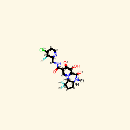 CCN1C(=O)c2c(O)c(=O)c(C(=O)NCc3nccc(Cl)c3F)cn2[C@H]2[C@@H]1CCC2(F)F